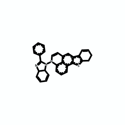 C1=CC2N=C(c3ccccc3)N(N3C=Cc4cc5c6c(sc5c5cccc3c45)CCC=C6)C2C=C1